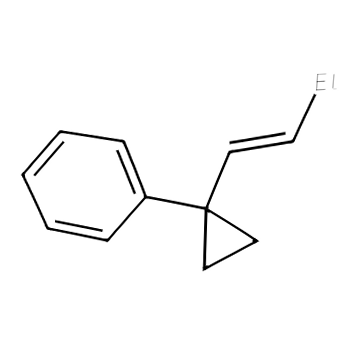 CCC=CC1(c2ccccc2)CC1